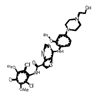 COc1c(Cl)c(NC(=O)c2csc3c(Nc4ccc(N5CCN(CCO)CC5)cc4OC(C)C)ncnc23)c(Cl)c(OC)c1Cl